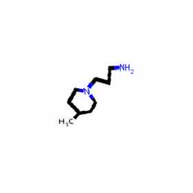 CC1CCN(CCCN)CC1